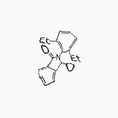 CCc1cccc(CC)c1N1C(=O)c2ccccc2C1=O